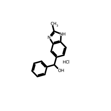 Cc1nc2cc(C(O)c3ccccc3)ccc2[nH]1.Cl